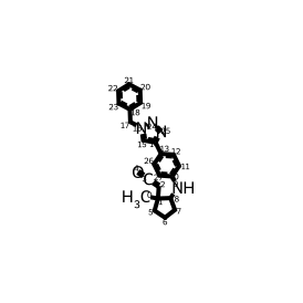 CC1(C=C=O)CCCC1Nc1ccc(-c2cn(Cc3ccccc3)nn2)cc1